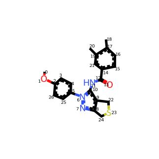 COc1ccc(-n2nc3c(c2NC(=O)c2ccc(C)c(C)c2)CSC3)cc1